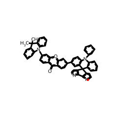 CC1(C)c2ccccc2N(c2ccc3c(=O)c4ccc(-c5ccc6c(c5)C5(c7ccccc7N6c6ccccc6)c6cccnc6-c6ncccc65)cc4oc3c2)c2ccccc21